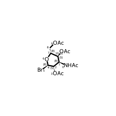 CC(=O)N[C@H]1[C@H](OC(C)=O)[C@@H](Br)O[C@H](COC(C)=O)[C@H]1OC(C)=O